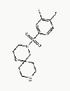 O=S(=O)(c1ccc(F)c(F)c1)N1CCOC2(CCNCC2)C1